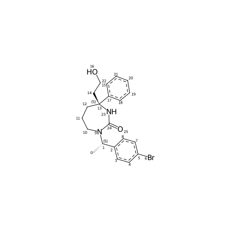 C[C@@H](c1ccc(Br)cc1)N1CCC[C@](CCO)(c2ccccc2)NC1=O